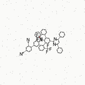 N#Cc1ccc(-c2ccc3c(c2)c2ccccc2n3-c2c(-c3ccccc3C(F)(F)F)cc(-c3nc(-c4ccccc4)cc(-c4ccccc4)n3)cc2-c2ccccc2C(F)(F)F)c(C#N)c1